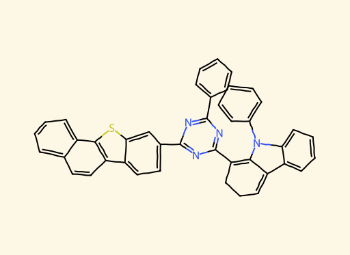 C1=c2c(n(-c3ccccc3)c3ccccc23)=C(c2nc(-c3ccccc3)nc(-c3ccc4c(c3)sc3c5ccccc5ccc43)n2)CC1